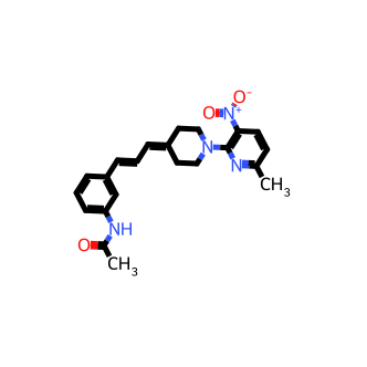 CC(=O)Nc1cccc(C=CC=C2CCN(c3nc(C)ccc3[N+](=O)[O-])CC2)c1